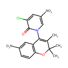 CC1=C(n2cc([N+](=O)[O-])cc(Cl)c2=O)c2cc([N+](=O)[O-])ccc2OC1(C)C